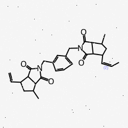 C=CC1CC(C)C2C(=O)N(Cc3cccc(CN4C(=O)C5C(C)CC(/C=C\C)C5C4=O)c3)C(=O)C12